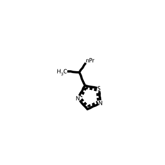 CCCC(C)c1ncns1